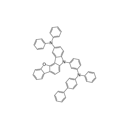 c1ccc(-c2ccc(N(c3ccccc3)c3cccc(-n4c5ccc(N(c6ccccc6)c6ccccc6)cc5c5c6oc7ccccc7c6ccc54)c3)cc2)cc1